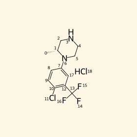 C[C@@H]1CNCCN1c1ccc(Cl)c(C(F)(F)F)c1.Cl